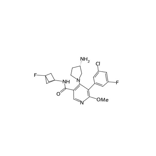 COc1ncc(C(=O)NC23CC(F)(C2)C3)c(N2CC[C@H](N)C2)c1-c1cc(F)cc(Cl)c1